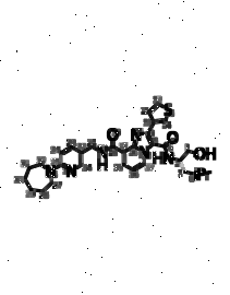 CC(C)C[C@@H](CO)NC(=O)c1c(-c2ccsc2)nc2c(C(=O)NCc3ccc(N4CCCCCC4)nc3)cccn12